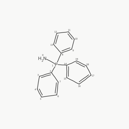 N[P](c1ccccc1)(c1ccccc1)c1ccccc1